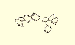 c1ccc(-c2nc(-c3ccc4cc5oc6ccccc6c5cc4c3)nc3ccc4ccccc4c23)cc1